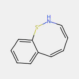 c1ccc2ccccc2s[nH]c1